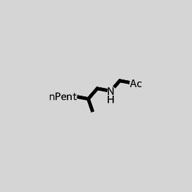 CCCCCC(C)CNCC(C)=O